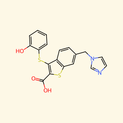 O=C(O)c1sc2cc(Cn3ccnc3)ccc2c1Sc1ccccc1O